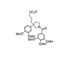 COc1ccc(C2(CCCS(=O)(=O)O)CCN(C(=O)c3cc(OC)c(OC)c(OC)c3)C2)cc1OC